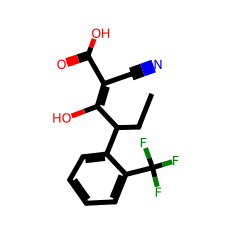 CCC(C(O)=C(C#N)C(=O)O)c1ccccc1C(F)(F)F